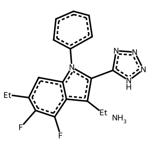 CCc1cc2c(c(F)c1F)c(CC)c(-c1nnn[nH]1)n2-c1ccccc1.N